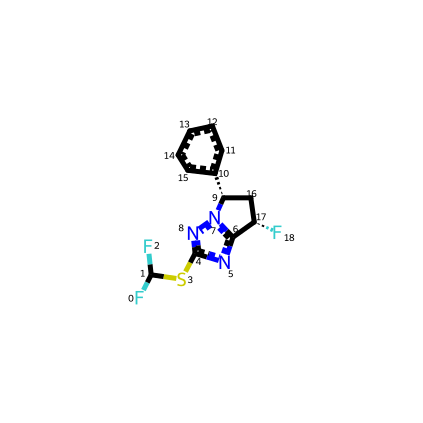 FC(F)Sc1nc2n(n1)[C@H](c1ccccc1)C[C@@H]2F